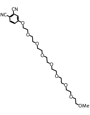 COCCOCCOCCOCCOCCOCCOCCOCCOc1ccc(C#N)c(C#N)c1